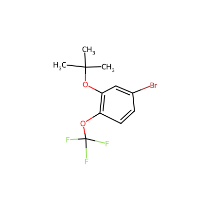 CC(C)(C)Oc1cc(Br)ccc1OC(F)(F)F